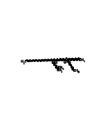 CCCCCCCCCCCCCCCCCCC(CCCCCCCC(=O)OC(CCCCCCCC)CCCCCCCC)OC(=O)CCCN(C)C